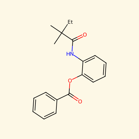 CCC(C)(C)C(=O)Nc1ccccc1OC(=O)c1ccccc1